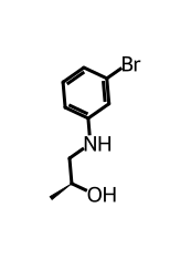 C[C@H](O)CNc1cccc(Br)c1